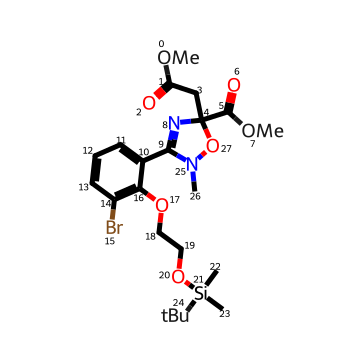 COC(=O)CC1(C(=O)OC)N=C(c2cccc(Br)c2OCCO[Si](C)(C)C(C)(C)C)N(C)O1